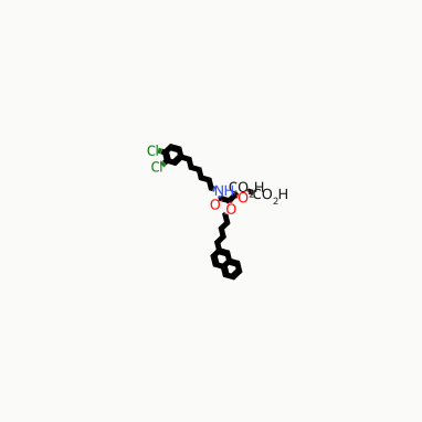 O=C(O)COC(C(=O)O)C(OCCCCCc1ccc2ccccc2c1)C(=O)NCCCCCCc1ccc(Cl)c(Cl)c1